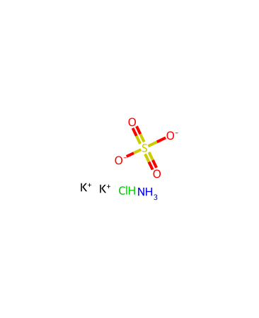 Cl.N.O=S(=O)([O-])[O-].[K+].[K+]